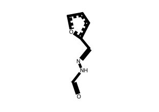 O=[C]NN=Cc1ccco1